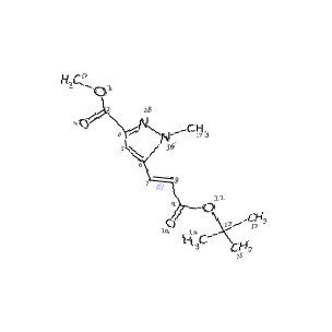 COC(=O)c1cc(/C=C/C(=O)OC(C)(C)C)n(C)n1